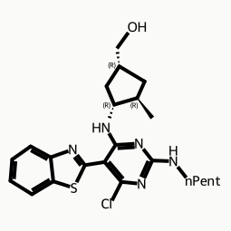 CCCCCNc1nc(Cl)c(-c2nc3ccccc3s2)c(N[C@@H]2C[C@H](CO)C[C@H]2C)n1